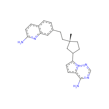 C[C@@]1(CCc2ccc3ccc(N)nc3c2)CCC(c2ccc3c(N)ncnn23)C1